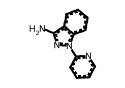 Nc1nn(-c2ccccn2)c2ccccc12